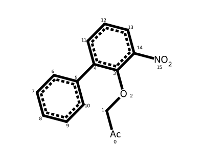 CC(=O)COc1c(-c2ccccc2)cccc1[N+](=O)[O-]